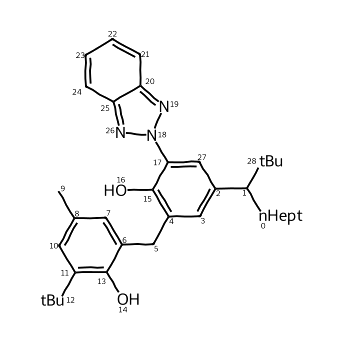 CCCCCCCC(c1cc(Cc2cc(C)cc(C(C)(C)C)c2O)c(O)c(-n2nc3ccccc3n2)c1)C(C)(C)C